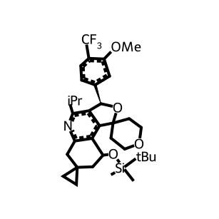 COc1cc([C@H]2OC3(CCOCC3)c3c4c(nc(C(C)C)c32)CC2(CC2)CC4O[Si](C)(C)C(C)(C)C)ccc1C(F)(F)F